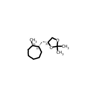 C[C@@H]1CCCCC[C@H]1C[C@@H]1COC(C)(C)O1